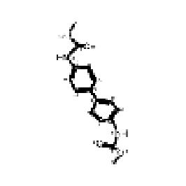 COC(=O)Nc1ccc(-c2ccc(NC(=O)OC)cc2)cc1